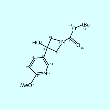 COc1ccc(C2(O)CN(C(=O)OC(C)(C)C)C2)cn1